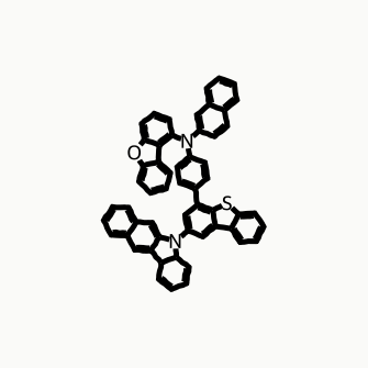 C1=CC2c3cc4ccccc4cc3N(c3cc(-c4ccc(N(c5ccc6ccccc6c5)c5cccc6oc7ccccc7c56)cc4)c4sc5ccccc5c4c3)C2C=C1